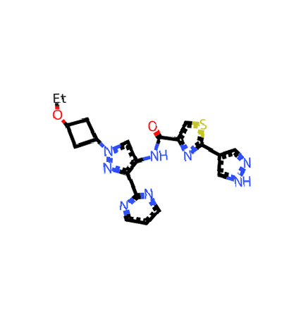 CCOC1CC(n2cc(NC(=O)c3csc(-c4cn[nH]c4)n3)c(-c3ncccn3)n2)C1